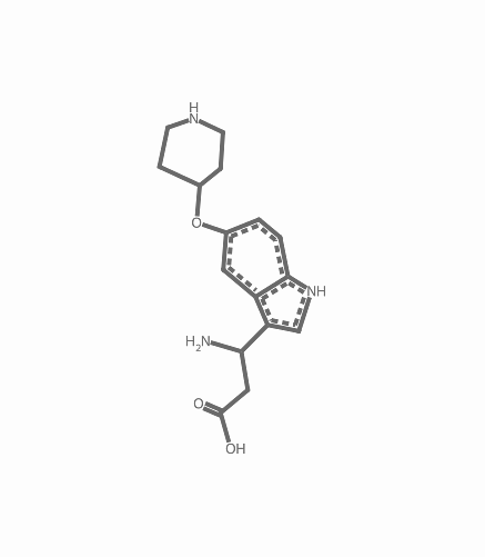 NC(CC(=O)O)c1c[nH]c2ccc(OC3CCNCC3)cc12